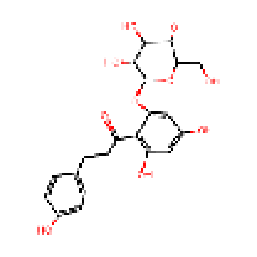 O=C(CCc1ccc(O)cc1)c1c(O)cc(O)cc1O[C@@H]1OC(CO)[C@@H](O)C(O)[C@@H]1O